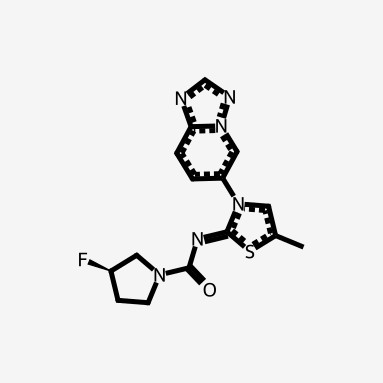 Cc1cn(-c2ccc3ncnn3c2)c(=NC(=O)N2CC[C@@H](F)C2)s1